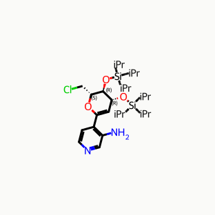 CC(C)[Si](O[C@H]1[C@H](O[Si](C(C)C)(C(C)C)C(C)C)C=C(c2ccncc2N)O[C@@H]1CCl)(C(C)C)C(C)C